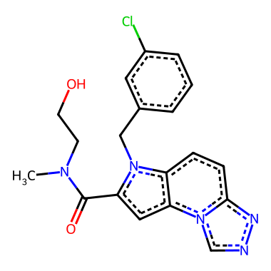 CN(CCO)C(=O)c1cc2c(ccc3nncn32)n1Cc1cccc(Cl)c1